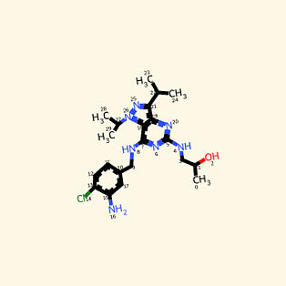 CC(O)CNc1nc(NCc2ccc(Cl)c(N)c2)c2c(n1)c(C(C)C)nn2C(C)C